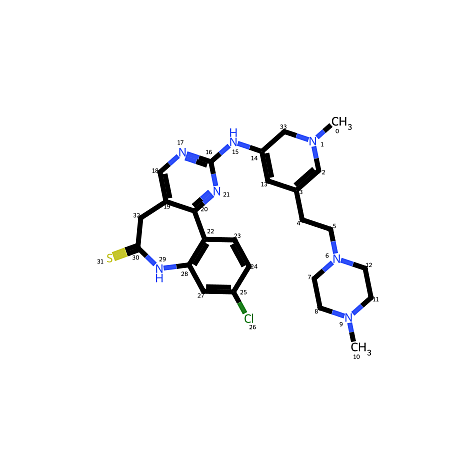 CN1C=C(CCN2CCN(C)CC2)C=C(Nc2ncc3c(n2)-c2ccc(Cl)cc2NC(=S)C3)C1